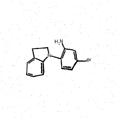 Nc1cc(Br)ccc1N1CCc2ccccc21